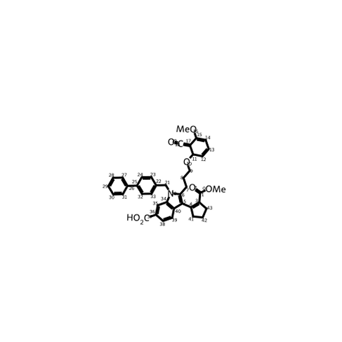 COC(=O)C1=C(c2c(CCCOC3C=CC=C(OC)C3=C=O)n(Cc3ccc(-c4ccccc4)cc3)c3cc(C(=O)O)ccc23)CCC1